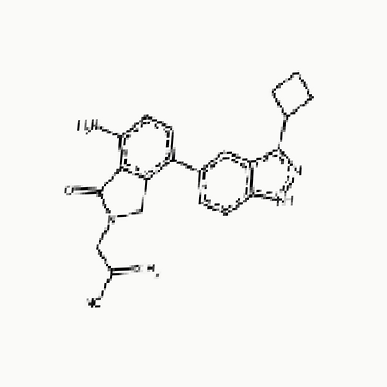 C=C(C#N)CN1Cc2c(-c3ccc4[nH]nc(C5CCC5)c4c3)ccc(N)c2C1=O